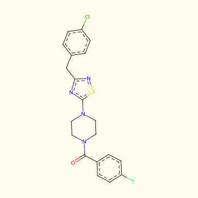 O=C(c1ccc(F)cc1)N1CCN(c2nc(Cc3ccc(Cl)cc3)ns2)CC1